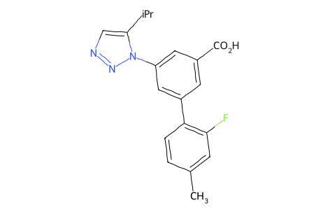 Cc1ccc(-c2cc(C(=O)O)cc(-n3nncc3C(C)C)c2)c(F)c1